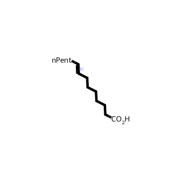 CCCCC/C=C/CCCCCCC(=O)O